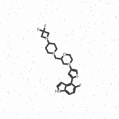 Fc1ccc2[nH]ccc2c1-c1cc(N2CCOC(CN3CCC(N4CC(F)(F)C4)CC3)C2)cs1